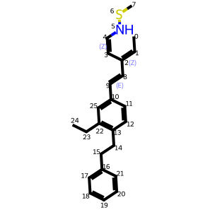 C/C=C(\C=C/NSC)/C=C/c1ccc(CCc2ccccc2)c(CC)c1